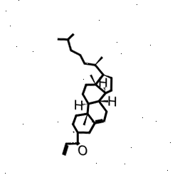 C=CC(=O)[C]1CC[C@@]2(C)C(=CC[C@H]3[C@@H]4CC[C@H]([C@H](C)CCCC(C)C)[C@@]4(C)CC[C@@H]32)C1